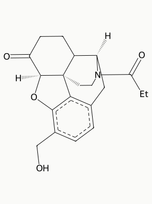 CCC(=O)N1CC[C@]23c4c5ccc(CO)c4O[C@H]2C(=O)CCC3[C@H]1C5